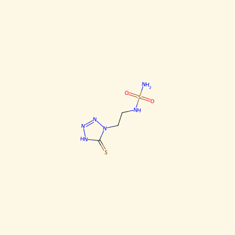 NS(=O)(=O)NCCn1nn[nH]c1=S